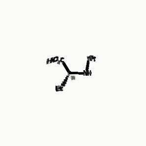 CCCN[C@H](CC)C(=O)O